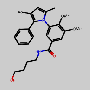 COc1cc(C(=O)NCCCCO)cc(-n2c(C)cc(C(C)=O)c2-c2ccccc2)c1OC